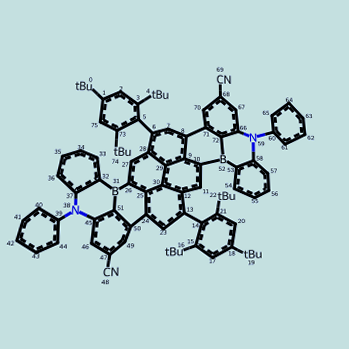 CC(C)(C)c1cc(C(C)(C)C)c(-c2cc3c4c(cc5c(-c6c(C(C)(C)C)cc(C(C)(C)C)cc6C(C)(C)C)cc6c7c(cc2c4c57)B2c4ccccc4N(c4ccccc4)c4cc(C#N)cc-6c42)B2c4ccccc4N(c4ccccc4)c4cc(C#N)cc-3c42)c(C(C)(C)C)c1